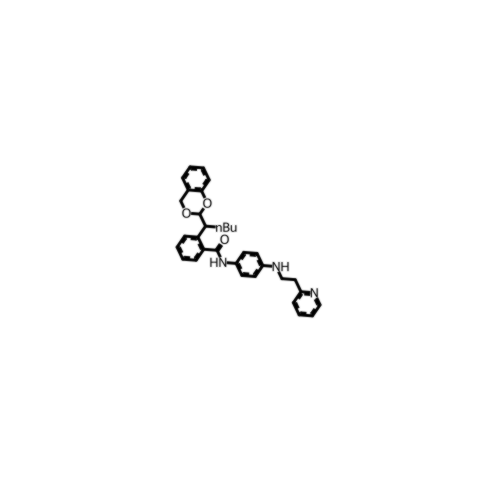 CCCCC(c1ccccc1C(=O)Nc1ccc(NCCc2ccccn2)cc1)C1OCc2ccccc2O1